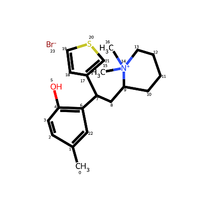 Cc1ccc(O)c(C(CC2CCCC[N+]2(C)C)c2ccsc2)c1.[Br-]